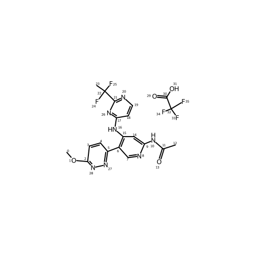 COc1ccc(-c2cnc(NC(C)=O)cc2Nc2ccnc(C(C)(F)F)n2)nn1.O=C(O)C(F)(F)F